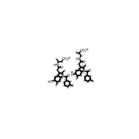 Cc1c(CC(=O)NC(C)CC(=O)O)c2cc(O)c(F)cc2n1C(=O)c1cccc(F)c1.Cc1c(CC(=O)NCC(C)C(=O)O)c2cc(O)c(F)cc2n1C(=O)c1cccc(F)c1